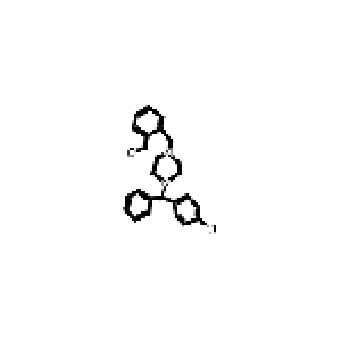 [O]Cc1ccccc1CN1CCN([C@H](c2ccccc2)c2ccc(Cl)cc2)CC1